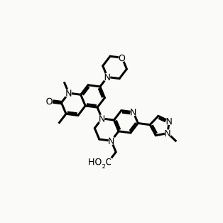 Cc1cc2c(N3CCN(CC(=O)O)c4cc(-c5cnn(C)c5)ncc43)cc(N3CCOCC3)cc2n(C)c1=O